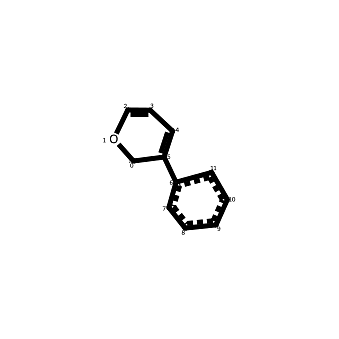 [C]1OC=CC=C1c1ccccc1